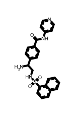 NC(CNS(=O)(=O)c1cccc2ccccc12)c1ccc(C(=O)Nc2ccncc2)cc1